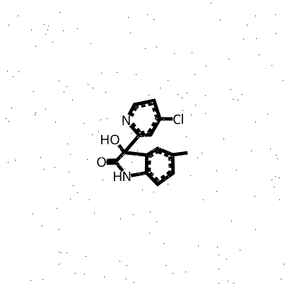 Cc1ccc2c(c1)C(O)(c1cc(Cl)ccn1)C(=O)N2